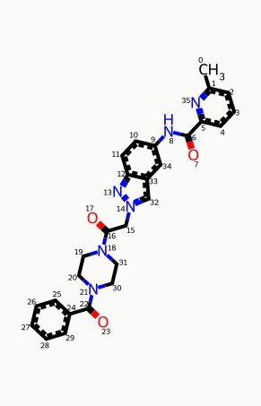 Cc1cccc(C(=O)Nc2ccc3nn(CC(=O)N4CCN(C(=O)c5ccccc5)CC4)cc3c2)n1